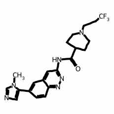 Cn1cncc1-c1ccc2nnc(NC(=O)C3CCN(CCC(F)(F)F)CC3)cc2c1